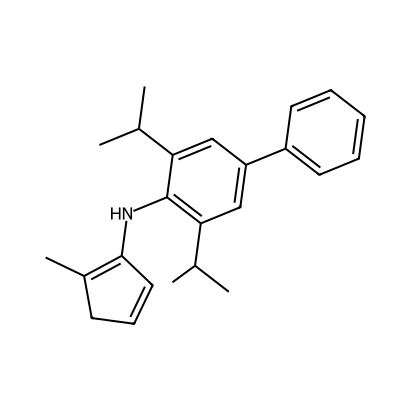 CC1=C(Nc2c(C(C)C)cc(-c3ccccc3)cc2C(C)C)C=CC1